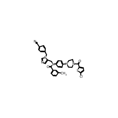 Cc1cccc(C(=O)N(Cc2cncn2Cc2ccc(C#N)cc2)c2ccc(N3CCN(C(=O)c4ccc(Cl)s4)CC3)cc2)c1